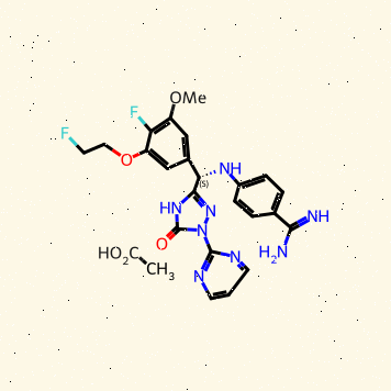 CC(=O)O.COc1cc([C@H](Nc2ccc(C(=N)N)cc2)c2nn(-c3ncccn3)c(=O)[nH]2)cc(OCCF)c1F